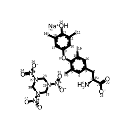 N[C@@H](Cc1cc(I)c(Oc2cc(I)c(O)c(I)c2)c(I)c1)C(=O)[O-].O=[N+]([O-])N1CN([N+](=O)[O-])CN([N+](=O)[O-])C1.[Na+]